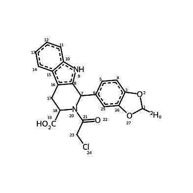 [2H]C1Oc2ccc(C3c4[nH]c5ccccc5c4CC(C(=O)O)N3C(=O)CCl)cc2O1